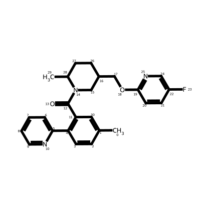 Cc1ccc(-c2ccccn2)c(C(=O)N2CC(COc3ccc(F)cn3)CCC2C)c1